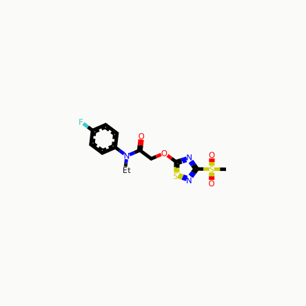 CCN(C(=O)COc1nc(S(C)(=O)=O)ns1)c1ccc(F)cc1